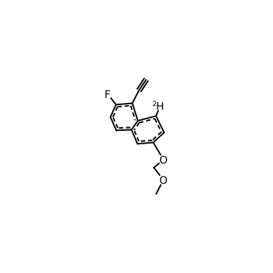 [2H]c1cc(OCOC)cc2ccc(F)c(C#C)c12